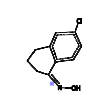 O/N=C1/CCCc2cc(Cl)ccc21